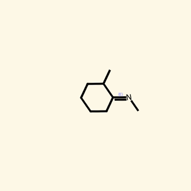 C/N=C1\CCCCC1C